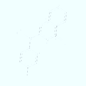 Cc1ccc(N(C)c2nc(=O)c3ccccc3s2)cc1